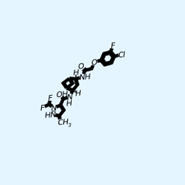 CC1CC(C(O)N[C@@H]2C[C@H](NC(=O)COc3ccc(Cl)c(F)c3)C3CC2C3)N(C(F)F)N1